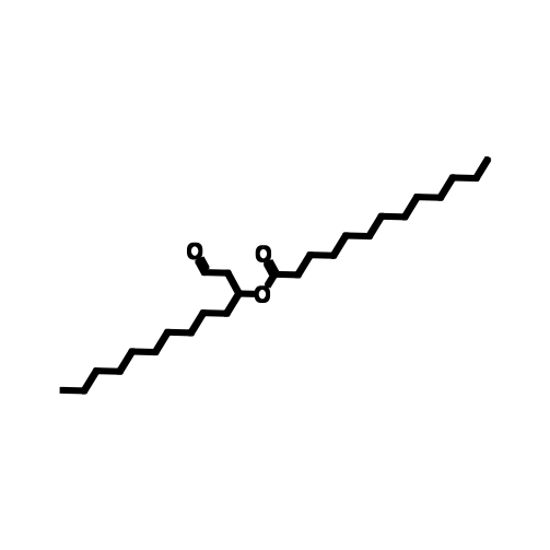 CCCCCCCCCCCCC(=O)OC(CC=O)CCCCCCCCCC